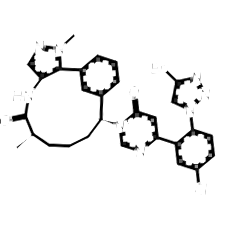 C[C@@H]1CCC[C@H](n2cnc(-c3cc(Cl)ccc3-n3cc(Br)nn3)cc2=O)c2cccc(c2)-c2c(cnn2C)NC1=O